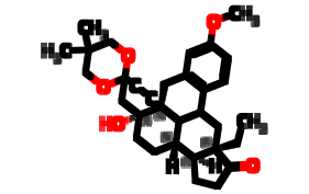 CC[C@]12CC3c4ccc(OC)cc4C[C@]45CCC6(C[C@]4(O)CC[C@H](C35)[C@@H]1CCC2=O)OCC(C)(C)CO6